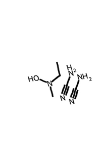 CCN(C)O.N#CN.N#CN